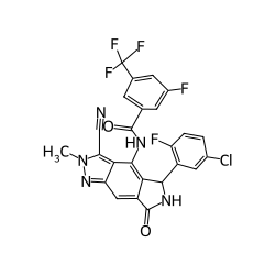 Cn1nc2cc3c(c(NC(=O)c4cc(F)cc(C(F)(F)F)c4)c2c1C#N)C(c1cc(Cl)ccc1F)NC3=O